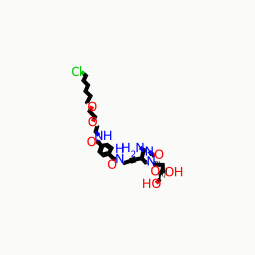 NC1=NC(=O)N([C@H]2C[C@H](O)[C@@H](CO)O2)CC1C#CCNC(=O)c1ccc(C(=O)NCCOCCOCCCCCCCl)cc1